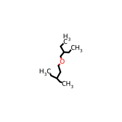 CCC(CC)CCOCC(CC)CC